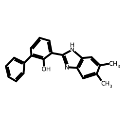 Cc1cc2nc(-c3cccc(-c4ccccc4)c3O)[nH]c2cc1C